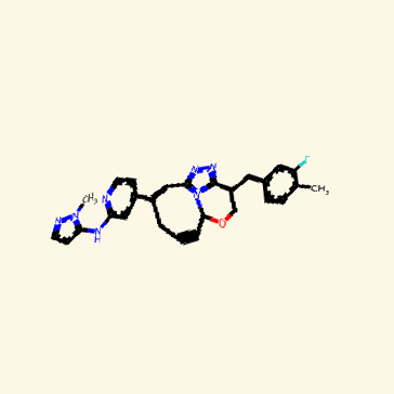 Cc1ccc(CC2COC3C#CC/C(c4ccnc(Nc5ccnn5C)c4)=C\c4nnc2n43)cc1F